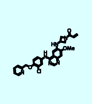 C=CC(=O)N1CC(Nc2cc3c(Nc4ccc(OCc5ccccn5)c(Cl)c4)ncnc3cc2OC)C1